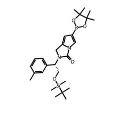 Cc1cccc([C@@H](CO[Si](C)(C)C(C)(C)C)N2Cc3cc(B4OC(C)(C)C(C)(C)O4)cn3C2=O)c1